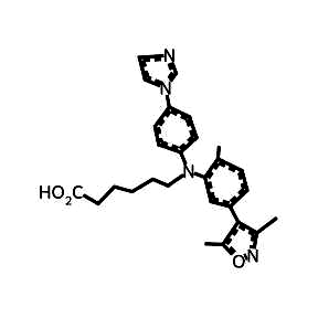 Cc1ccc(-c2c(C)noc2C)cc1N(CCCCCC(=O)O)c1ccc(-n2ccnc2)cc1